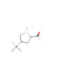 CC(C)(C)C1CC(C(=O)O)N(O)C1